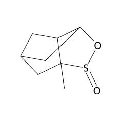 CC12CC3CC(OS1=O)C2C3